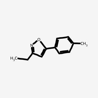 CCc1cc(-c2ccc(C)cc2)on1